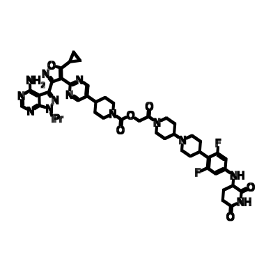 CC(C)n1nc(-c2noc(C3CC3)c2-c2ncc(C3CCN(C(=O)OCC(=O)N4CCC(N5CCC(c6c(F)cc(NC7CCC(=O)NC7=O)cc6F)CC5)CC4)CC3)cn2)c2c(N)ncnc21